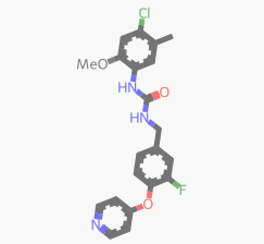 COc1cc(Cl)c(C)cc1NC(=O)NCc1ccc(Oc2ccncc2)c(F)c1